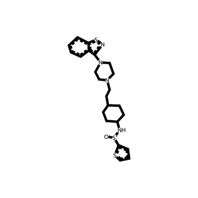 [O-][S+](NC1CCC(CCN2CCN(c3nsc4ccccc34)CC2)CC1)c1cccs1